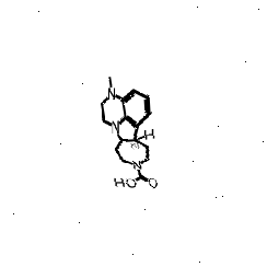 CN1CCN2c3c(cccc31)[C@@H]1CCN(C(=O)O)CCC12